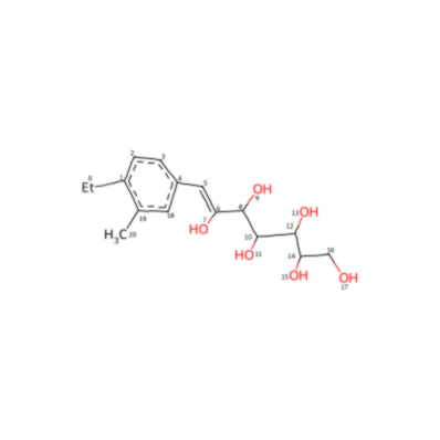 CCc1ccc(C=C(O)C(O)C(O)C(O)C(O)CO)cc1C